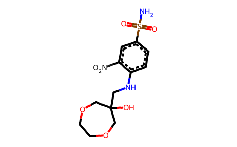 NS(=O)(=O)c1ccc(NCC2(O)COCCOC2)c([N+](=O)[O-])c1